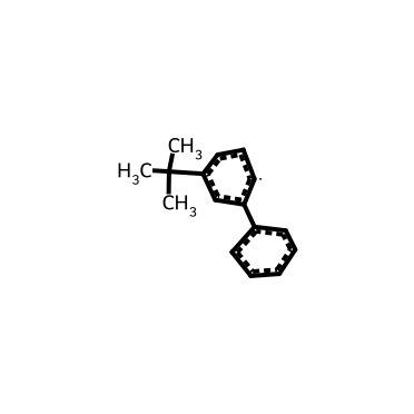 CC(C)(C)c1cc[c]c(-c2ccccc2)c1